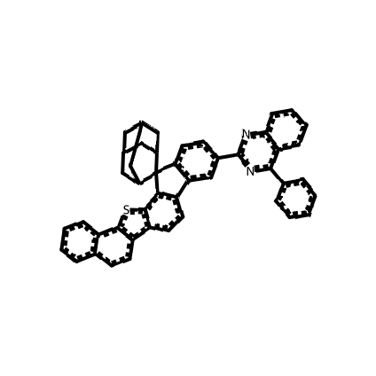 c1ccc(-c2nc(-c3ccc4c(c3)-c3ccc5c(sc6c7ccccc7ccc56)c3C43C4CC5CC(C4)CC3C5)nc3ccccc23)cc1